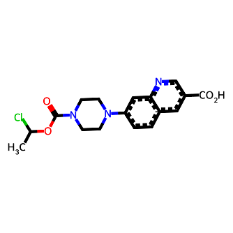 CC(Cl)OC(=O)N1CCN(c2ccc3cc(C(=O)O)cnc3c2)CC1